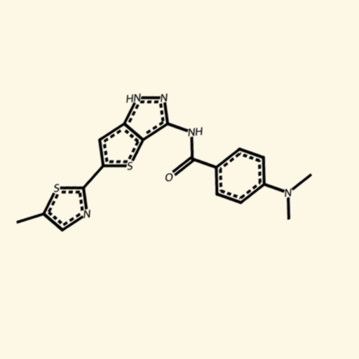 Cc1cnc(-c2cc3[nH]nc(NC(=O)c4ccc(N(C)C)cc4)c3s2)s1